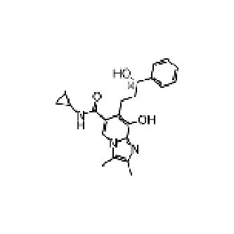 Cc1nc2c(O)c(CC[C@H](O)c3ccccc3)c(C(=O)NC3CC3)cn2c1C